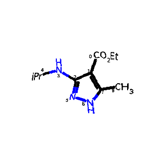 CCOC(=O)c1c(NC(C)C)n[nH]c1C